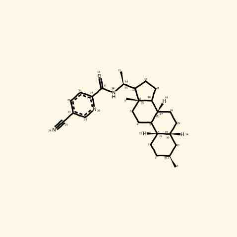 C[C@H]1CC[C@@H]2C3CC[C@@]4(C)C(CCC4[C@H](C)NC(=O)c4ccc(C#N)cn4)[C@@H]3CC[C@@H]2C1